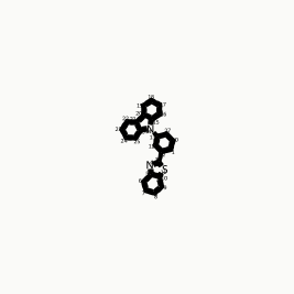 c1cc(-c2nc3ccccc3s2)cc(-n2c3ccccc3c3ccccc32)c1